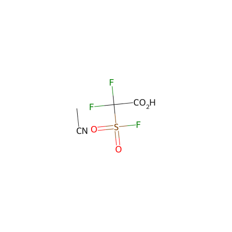 CC#N.O=C(O)C(F)(F)S(=O)(=O)F